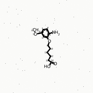 COc1ccc(N)c(OCCCCCC(=O)O)c1